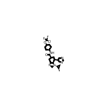 C[C@@H]1C[C@H]1n1cnc2cc(C(=O)Nc3ccc(OC(F)(F)Cl)cc3)cc(-c3cncnc3)c21